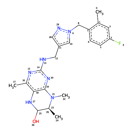 Cc1cc(F)ccc1Cn1cc(CNc2nc(C)c3c(n2)N(C)[C@@H](C)C(O)N3)cn1